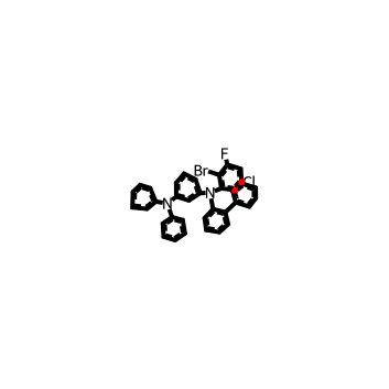 Fc1cc(Cl)cc(N(c2cccc(N(c3ccccc3)c3ccccc3)c2)c2ccccc2-c2ccccc2)c1Br